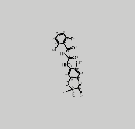 O=C(NC(=O)c1c(F)cccc1F)Nc1cc2c(cc1Cl)OC(F)C(F)(F)O2